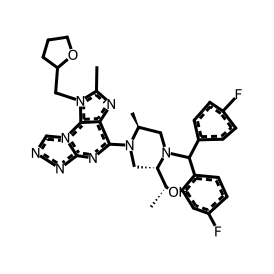 Cc1nc2c(N3C[C@@H]([C@@H](C)O)N(C(c4ccc(F)cc4)c4ccc(F)cc4)C[C@@H]3C)nc3nncn3c2n1CC1CCCO1